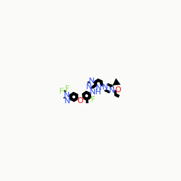 C=CC(=O)N1CCN(c2ccc3ncnc(Nc4ccc(Oc5ccc6c(c5)ncn6C(F)F)c(C)c4F)c3n2)C[C@@H]1C1CC1